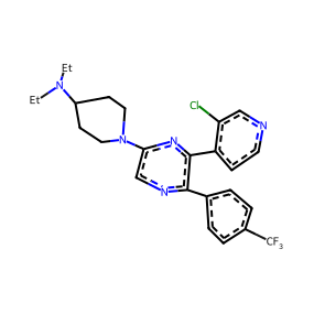 CCN(CC)C1CCN(c2cnc(-c3ccc(C(F)(F)F)cc3)c(-c3ccncc3Cl)n2)CC1